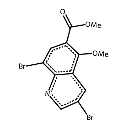 COC(=O)c1cc(Br)c2ncc(Br)cc2c1OC